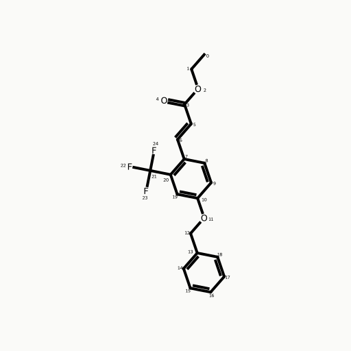 CCOC(=O)C=Cc1ccc(OCc2ccccc2)cc1C(F)(F)F